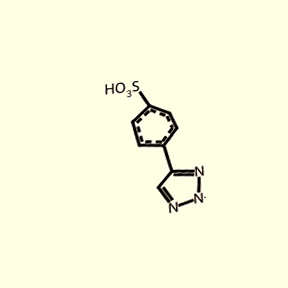 O=S(=O)(O)c1ccc(C2=N[N]N=C2)cc1